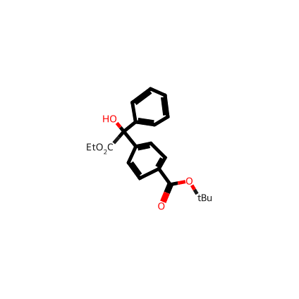 CCOC(=O)C(O)(c1ccccc1)c1ccc(C(=O)OC(C)(C)C)cc1